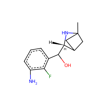 CC12CC(C1)[C@H](C(O)c1cccc(N)c1F)N2